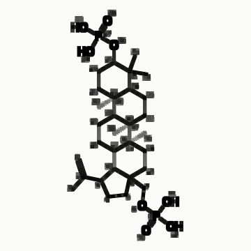 C=C(C)C1CCC2(COP(=O)(O)O)CC[C@@]3(C)C(CCC4[C@@]5(C)CCC(OP(=O)(O)O)C(C)(C)C5CC[C@]43C)C12